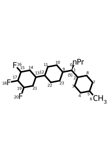 CCC[C@@H](C1CCC(C)CC1)C1CCC(C2CC(F)C(F)C(F)C2)CC1